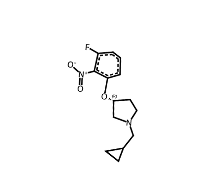 O=[N+]([O-])c1c(F)cccc1O[C@@H]1CCN(CC2CC2)C1